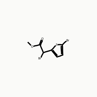 COC(=O)C(Br)c1ccc(Br)s1